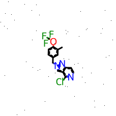 Cc1cc(Cn2cc3c(Cl)nccc3n2)ccc1OC(F)(F)F